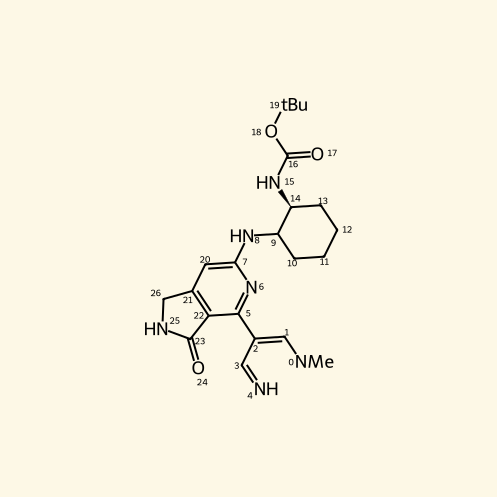 CN/C=C(\C=N)c1nc(NC2CCCC[C@@H]2NC(=O)OC(C)(C)C)cc2c1C(=O)NC2